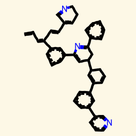 C=C/C=C(\C=C\C1=CCCN=C1)c1cccc(C2=CC(C3C=C(c4cccc(-c5cccnc5)c4)C=CC3)CC(c3ccccc3)=N2)c1